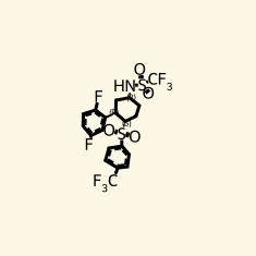 O=S(=O)(c1ccc(C(F)(F)F)cc1)[C@H]1CC[C@@H](NS(=O)(=O)C(F)(F)F)C[C@@H]1c1cc(F)ccc1F